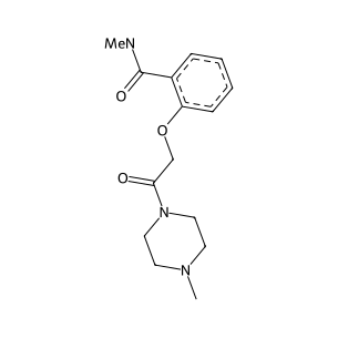 CNC(=O)c1ccccc1OCC(=O)N1CCN(C)CC1